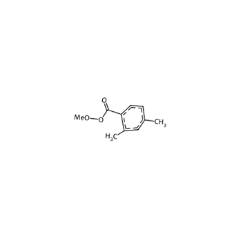 [CH2]OOC(=O)c1ccc(C)cc1C